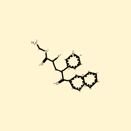 CCOC(=O)C(F)CC(C(=O)c1ccc2ccccc2c1)c1cccnc1